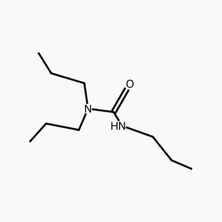 CCCNC(=O)N(CCC)CCC